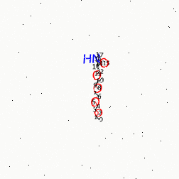 CCOCCOCCOCCOCCC(=O)NC